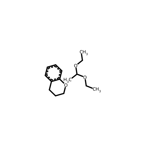 CCOC(C)OCC.c1ccc2c(c1)CCCO2